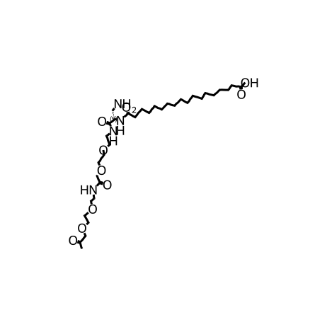 CC(=O)COCCOCCNC(=O)COCCOCCNC(=O)[C@H](CN)NC(=O)CCCCCCCCCCCCCCCCC(=O)O